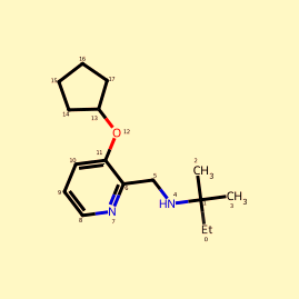 CCC(C)(C)NCc1ncccc1OC1CCCC1